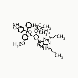 CCCCNc1nc(SCCC)nc2c1nnn2[C@H]1C[C@@H](COC(c2ccccc2)(c2ccc(OC)cc2)c2ccc(OC)cc2)[C@H](O[Si](C)(C)C(C)(C)C)C1